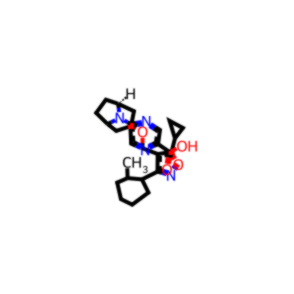 CC1CCCCC1c1noc(C2CC2)c1CO[C@@H]1CC2CC[C@@H](C1)N2c1cnc(C(=O)O)cn1